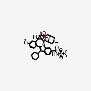 COc1ccc2c(c1)[C@@H]1C[C@]1(C(=O)N1C3CN(C)CC1CN(C(C)=O)C3)Cn1c-2c(C2CCCCC2)c2ccc(C(=O)NS(=O)(=O)N(C)C)cc21